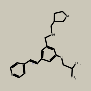 CC(C)COc1cc(/C=C/c2ccncc2)cc(CNCC2CCNC2)c1